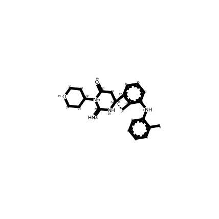 Cc1ccccc1Nc1cccc2c1C[C@]21CC(=O)N(C2CCOCC2)C(=N)N1